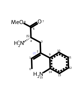 C/C=C(/C[C@H](N)C(=O)OC)c1ccccc1N